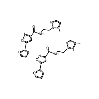 Cc1ccn(CCNC(=O)c2cc(-c3ccco3)on2)n1.Cc1ccnn1CCNC(=O)c1cc(-c2ccco2)on1